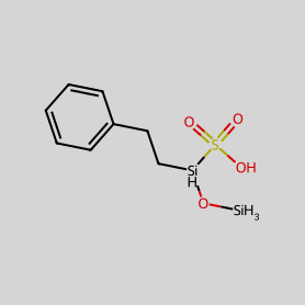 O=S(=O)(O)[SiH](CCc1ccccc1)O[SiH3]